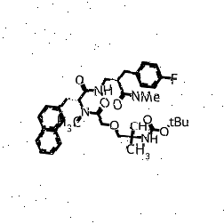 CNC(=O)[C@@H](CNC(=O)[C@@H](Cc1ccc2ccccc2c1)N(C)C(=O)COCC(C)(C)NC(=O)OC(C)(C)C)Cc1ccc(F)cc1